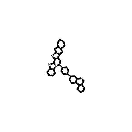 c1ccc2cc3c(cc2c1)sc1c3cc(-c2ccc(-c3ccc4c(c3)ncc3ccccc34)cc2)n2c3ccccc3nc12